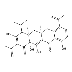 C=C(C)c1ccc(O)c2c1C[C@]1(C)C[C@]3(C)C(C(C)C)C(O)=C(C(C)=O)C(=O)[C@]3(O)C(O)=C1C2=O